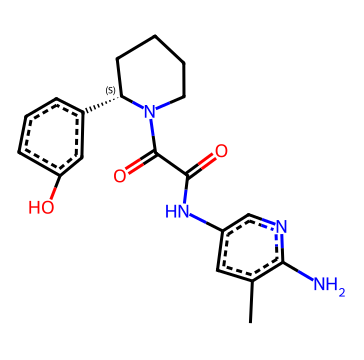 Cc1cc(NC(=O)C(=O)N2CCCC[C@H]2c2cccc(O)c2)cnc1N